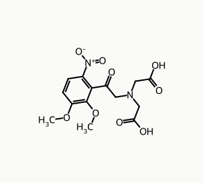 COc1ccc([N+](=O)[O-])c(C(=O)CN(CC(=O)O)CC(=O)O)c1OC